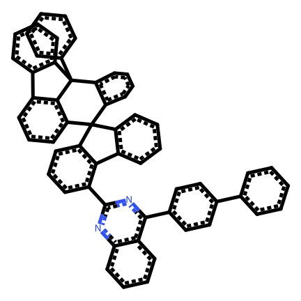 c1ccc(-c2ccc(-c3nc(-c4cccc5c4-c4ccccc4C54c5ccccc5C5(c6ccccc6)c6ccccc6-c6cccc4c65)nc4ccccc34)cc2)cc1